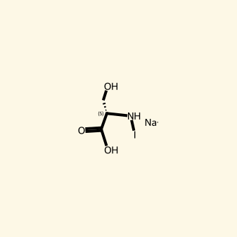 O=C(O)[C@H](CO)NI.[Na]